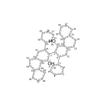 Oc1c(-c2c(-c3ccccc3)cc3ccc4ccccc4c3c2O)c(-c2ccccc2)cc2ccc3ccccc3c12